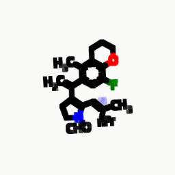 C=C(C1=C(/C=C(/C)CCC)N(C=O)CC1)c1cc(F)c2c(c1C)CCCO2